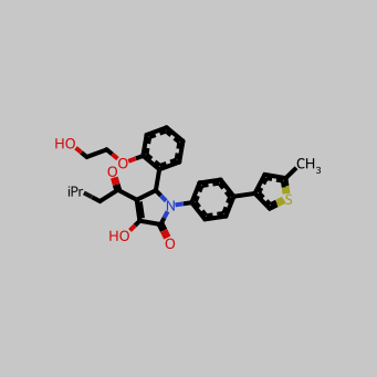 Cc1cc(-c2ccc(N3C(=O)C(O)=C(C(=O)CC(C)C)C3c3ccccc3OCCO)cc2)cs1